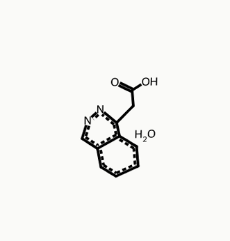 O.O=C(O)Cc1nncc2ccccc12